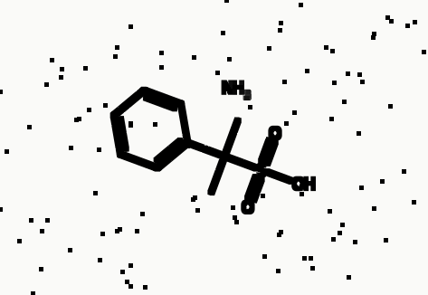 CC(C)(c1ccccc1)S(=O)(=O)O.N